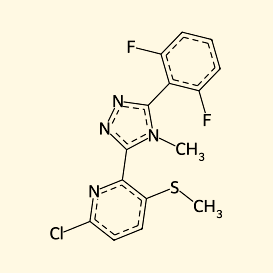 CSc1ccc(Cl)nc1-c1nnc(-c2c(F)cccc2F)n1C